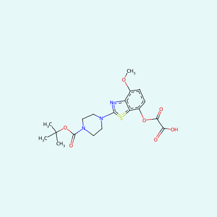 COc1ccc(OC(=O)C(=O)O)c2sc(N3CCN(C(=O)OC(C)(C)C)CC3)nc12